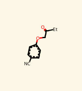 CCC(=O)COc1ccc(C#N)cc1